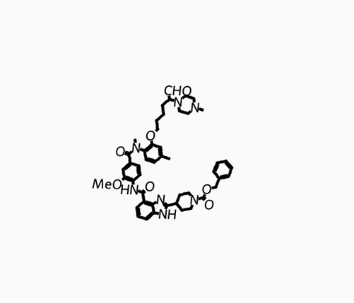 COc1cc(C(=O)N(C)c2ccc(C)cc2OCCCCC(C=O)N2CCN(C)CC2)ccc1NC(=O)c1cccc2[nH]c(C3CCN(C(=O)OCc4ccccc4)CC3)nc12